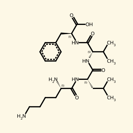 CC(C)C[C@H](NC(=O)[C@@H](N)CCCCN)C(=O)N[C@H](C(=O)N[C@@H](Cc1ccccc1)C(=O)O)C(C)C